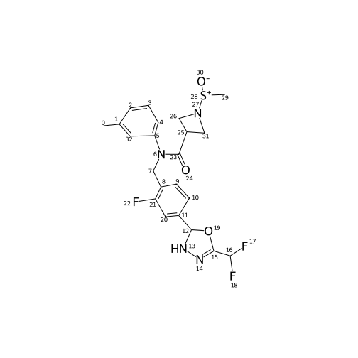 Cc1cccc(N(Cc2ccc(C3NN=C(C(F)F)O3)cc2F)C(=O)C2CN([S+](C)[O-])C2)c1